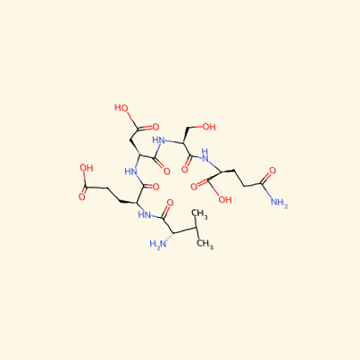 CC(C)[C@H](N)C(=O)N[C@@H](CCC(=O)O)C(=O)N[C@@H](CC(=O)O)C(=O)N[C@@H](CO)C(=O)N[C@@H](CCC(N)=O)C(=O)O